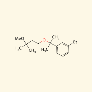 CCc1cccc(C(C)(C)OCCC(C)(C)OC)c1